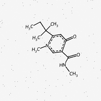 CCC(C)(C)c1cc(=O)c(C(=O)NC)cn1C